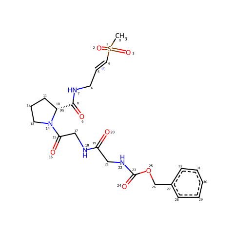 CS(=O)(=O)/C=C/CNC(=O)[C@H]1CCCN1C(=O)CNC(=O)CNC(=O)OCc1ccccc1